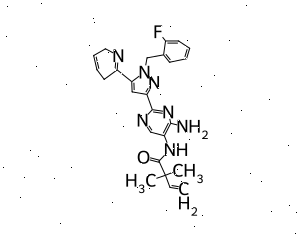 C=CC(C)(C)C(=O)Nc1cnc(-c2cc(C3=NCC=CC3)n(Cc3ccccc3F)n2)nc1N